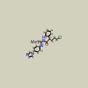 CS/C(=N\c1ccc(-n2ccnc2)cc1)NC(=O)C(CCCCl)c1ccccc1